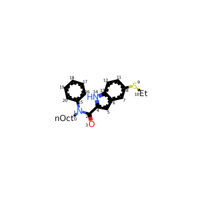 CCCCCCCCN(C(=O)c1cc2cc(SCC)ccc2[nH]1)c1ccccc1